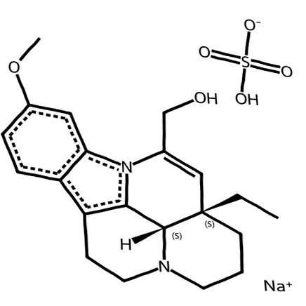 CC[C@@]12C=C(CO)n3c4c(c5ccc(OC)cc53)CCN(CCC1)[C@H]42.O=S(=O)([O-])O.[Na+]